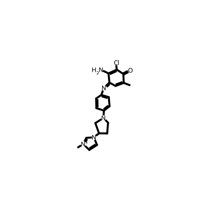 CC1=CC(=Nc2ccc(N3CCC(n4cc[n+](C)c4)C3)cc2)C(N)=C(Cl)C1=O